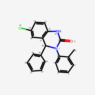 Cc1ccccc1N1C(=O)Nc2ccc(Cl)cc2C1c1ccccc1